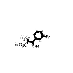 C=C(C(=O)OCC)C(O)c1cccc(Br)c1